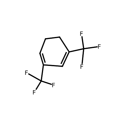 FC(F)(F)C1=CCCC(C(F)(F)F)=C1